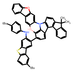 CC(C)(C)c1ccc(Nc2cc3sc4ccc(C(C)(C)C)cc4c3cc2-c2ccc3c4c5c(ccc4n4c3c2Bc2cc3c(cc2-4)oc2ccccc23)C(C)(C)c2ccccc2-5)cc1